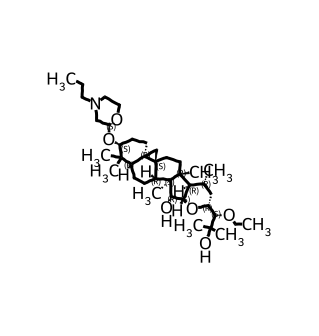 CCCN1CCO[C@@H](O[C@H]2CC[C@]34C[C@]35CC[C@]3(C)[C@@H]6[C@H](O[C@@H]([C@H](OCC)C(C)(C)O)C[C@H]6C)[C@H](O)[C@@]3(C)[C@@H]5CC[C@H]4C2(C)C)C1